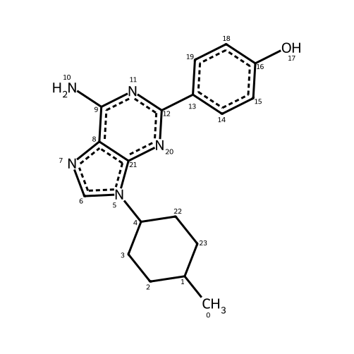 CC1CCC(n2cnc3c(N)nc(-c4ccc(O)cc4)nc32)CC1